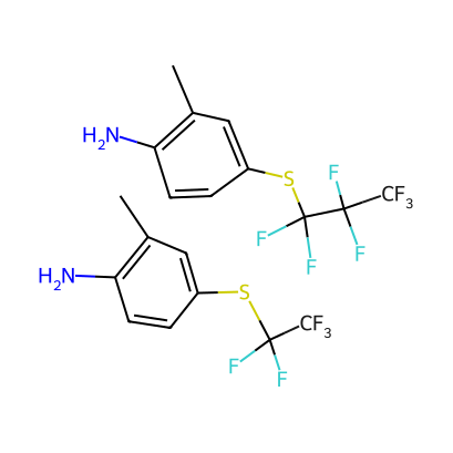 Cc1cc(SC(F)(F)C(F)(F)C(F)(F)F)ccc1N.Cc1cc(SC(F)(F)C(F)(F)F)ccc1N